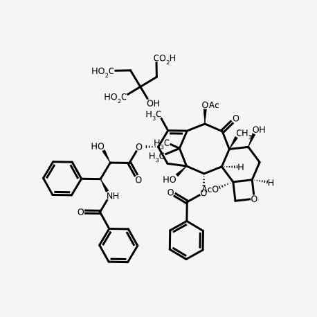 CC(=O)O[C@H]1C(=O)[C@@]2(C)[C@H]([C@H](OC(=O)c3ccccc3)[C@]3(O)C[C@H](OC(=O)[C@H](O)[C@@H](NC(=O)c4ccccc4)c4ccccc4)C(C)=C1C3(C)C)[C@]1(OC(C)=O)CO[C@@H]1C[C@@H]2O.O=C(O)CC(O)(CC(=O)O)C(=O)O